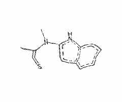 CC(=S)N(C)c1cc2ccccc2[nH]1